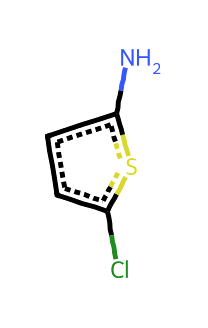 Nc1ccc(Cl)s1